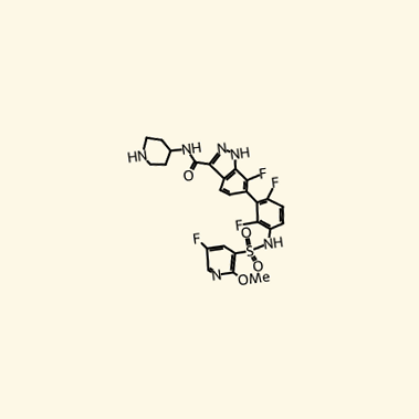 COc1ncc(F)cc1S(=O)(=O)Nc1ccc(F)c(-c2ccc3c(C(=O)NC4CCNCC4)n[nH]c3c2F)c1F